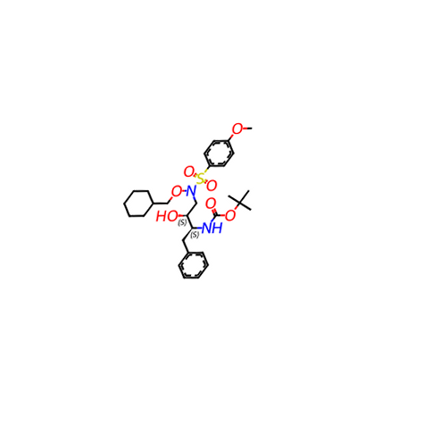 COc1ccc(S(=O)(=O)N(C[C@H](O)[C@H](Cc2ccccc2)NC(=O)OC(C)(C)C)OCC2CCCCC2)cc1